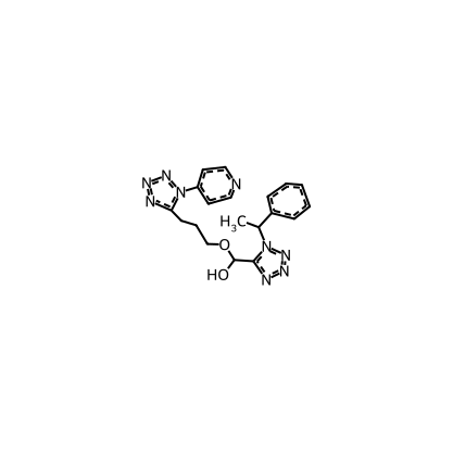 CC(c1ccccc1)n1nnnc1C(O)OCCCc1nnnn1-c1ccncc1